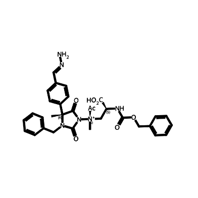 CC(=O)[N@+](C)(C[C@H](NC(=O)OCc1ccccc1)C(=O)O)N1C(=O)N(Cc2ccccc2)[C@](C)(c2ccc(C=NN)cc2)C1=O